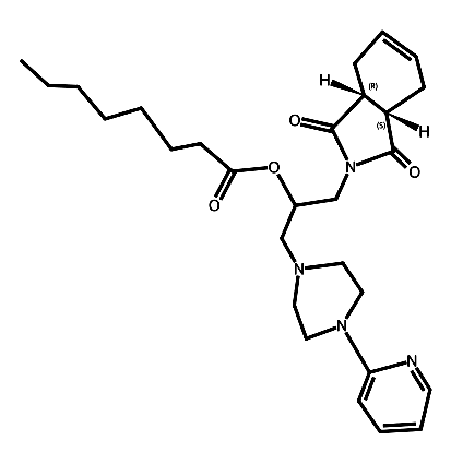 CCCCCCCC(=O)OC(CN1CCN(c2ccccn2)CC1)CN1C(=O)[C@H]2CC=CC[C@H]2C1=O